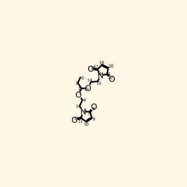 CCC(OCCN1C(=O)C=CC1=O)OCCN1C(=O)C=CC1=O